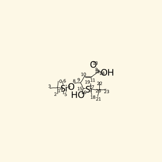 CC(C)(C)[Si](C)(C)OCC(/C=C/C(=O)O)C(O)[Si](C)(C)C(C)(C)C